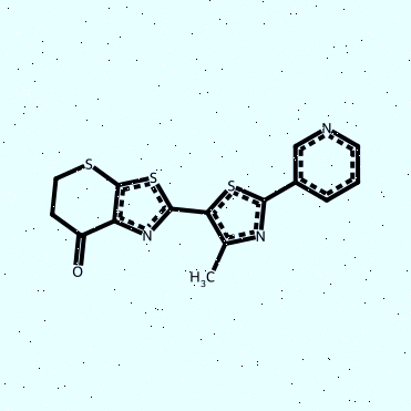 Cc1nc(-c2cccnc2)sc1-c1nc2c(s1)SCCC2=O